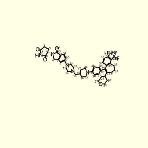 O=C1CC[C@H](N2Cc3cc(N4CCN(CC5CCN(c6ccc(C7=C(C8CCOCC8)CCCc8c7ccc7[nH]nc(F)c87)cc6)CC5)CC4)ccc3C2=O)C(=O)N1